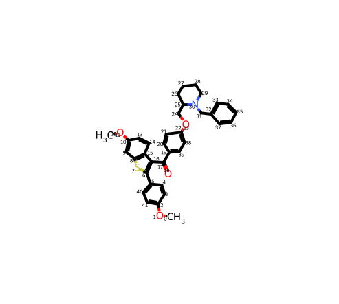 COc1ccc(-c2sc3cc(OC)ccc3c2C(=O)c2ccc(OCC3CCCCN3Cc3ccccc3)cc2)cc1